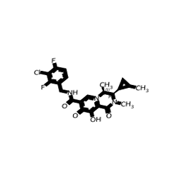 CC1CC1[C@@H]1[C@H](C)n2cc(C(=O)NCc3ccc(F)c(Cl)c3F)c(=O)c(O)c2C(=O)N1C